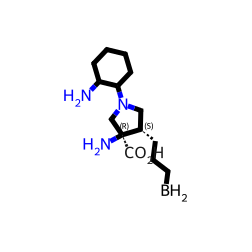 BCCC[C@H]1CN(C2CCCCC2N)C[C@@]1(N)C(=O)O